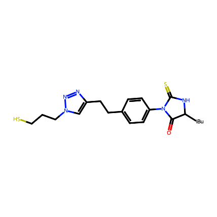 CCC(C)C1NC(=S)N(c2ccc(CCc3cn(CCCS)nn3)cc2)C1=O